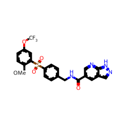 COc1ccc(OC(F)(F)F)cc1S(=O)(=O)c1ccc(CNC(=O)c2cnc3[nH]ncc3c2)cc1